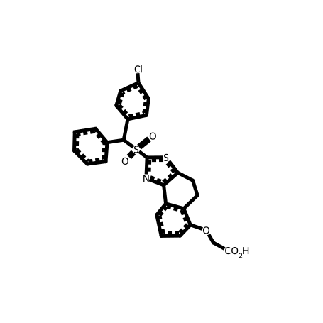 O=C(O)COc1cccc2c1CCc1sc(S(=O)(=O)C(c3ccccc3)c3ccc(Cl)cc3)nc1-2